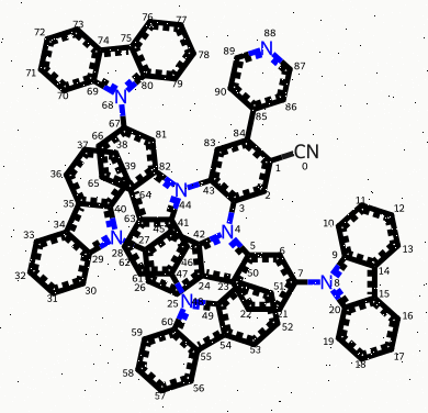 N#Cc1cc(-n2c3cc(-n4c5ccccc5c5ccccc54)ccc3c3ccc(-n4c5ccccc5c5ccccc54)cc32)c(-n2c3cc(-n4c5ccccc5c5ccccc54)ccc3c3ccc(-n4c5ccccc5c5ccccc54)cc32)cc1-c1ccncc1